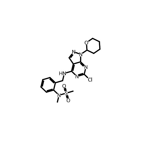 CN(c1ccccc1CNc1nc(Cl)nc2c1cnn2C1CCCCO1)S(C)(=O)=O